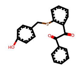 O=C(C(=O)c1ccccc1SCc1ccc(O)cc1)c1ccccc1